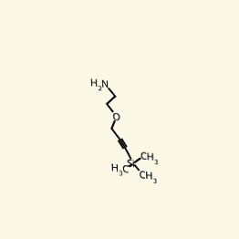 C[Si](C)(C)C#CCOCCN